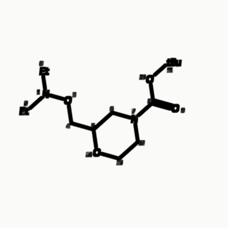 CCN(CC)OCC1CN(C(=O)OC(C)(C)C)CCO1